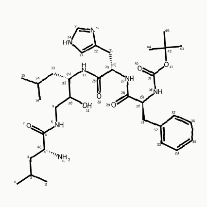 CC(C)C[C@@H](N)C(=O)NCC(O)[C@H](CC(C)C)NC(=O)[C@H](Cc1c[nH]cn1)NC(=O)[C@H](Cc1ccccc1)NC(=O)OC(C)(C)C